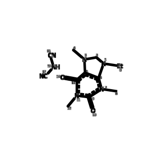 CCN1CN(C)c2c1n(C)c(=O)n(C)c2=O.N#CNC#N